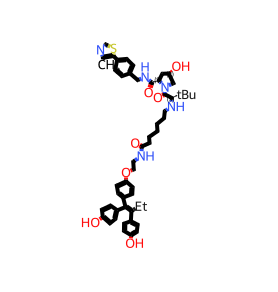 CCC(=C(c1ccc(O)cc1)c1ccc(OCCNC(=O)CCCCCCN[C@H](C(=O)N2C[C@H](O)C[C@H]2C(=O)NCc2ccc(-c3scnc3C)cc2)C(C)(C)C)cc1)c1ccc(O)cc1